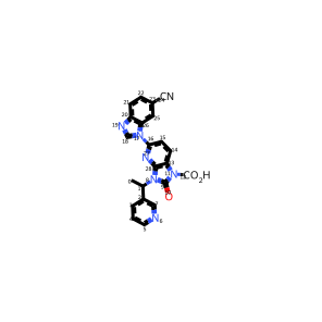 CC(c1cccnc1)n1c(=O)n(C(=O)O)c2ccc(-n3cnc4ccc(C#N)cc43)nc21